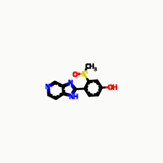 C[S+]([O-])c1cc(O)ccc1-c1nc2cnccc2[nH]1